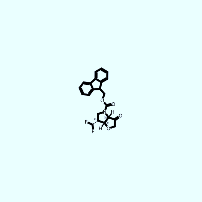 O=C1CO[C@H]2[C@@H]1N(C(=O)OCC1c3ccccc3-c3ccccc31)C[C@H]2C(F)F